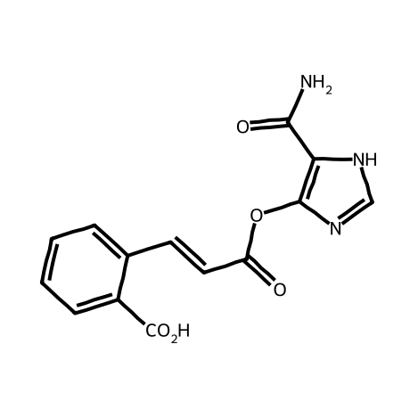 NC(=O)c1[nH]cnc1OC(=O)C=Cc1ccccc1C(=O)O